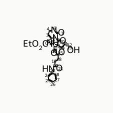 CCOC(=O)Nc1ccnc(=O)n1[C@@H]1O[C@H](CO)[C@@H](OC(=O)CCC(=O)Nc2ccccc2)C1(F)F